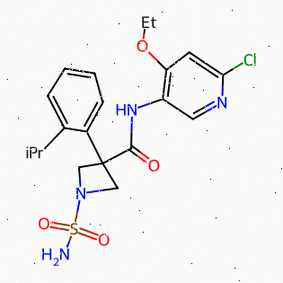 CCOc1cc(Cl)ncc1NC(=O)C1(c2ccccc2C(C)C)CN(S(N)(=O)=O)C1